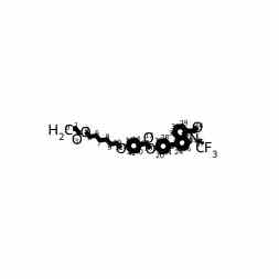 C=CC(=O)OCCCCCCOc1ccc(C(=O)Oc2ccc(-c3ccc4c5c(cccc35)C(=O)N4CC(F)(F)F)cc2)cc1